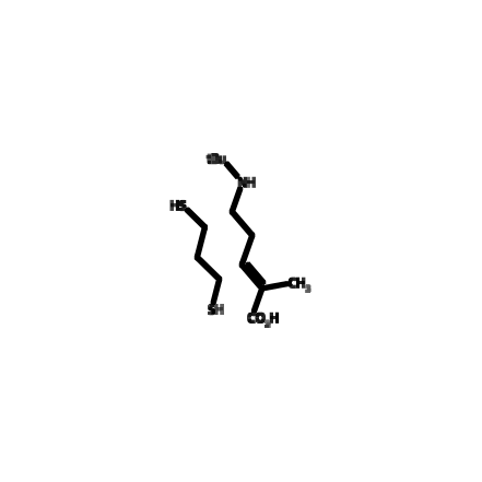 CC(=CCCNC(C)(C)C)C(=O)O.SCCCS